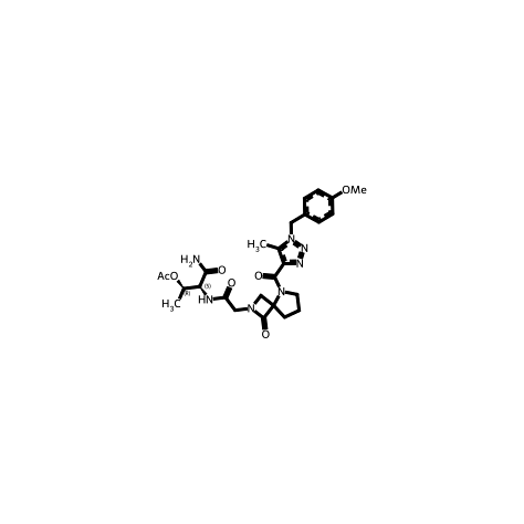 COc1ccc(Cn2nnc(C(=O)N3CCCC34CN(CC(=O)N[C@H](C(N)=O)[C@@H](C)OC(C)=O)C4=O)c2C)cc1